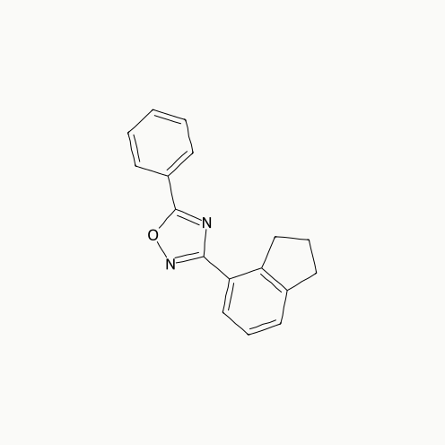 c1ccc(-c2nc(-c3cccc4c3CCC4)no2)cc1